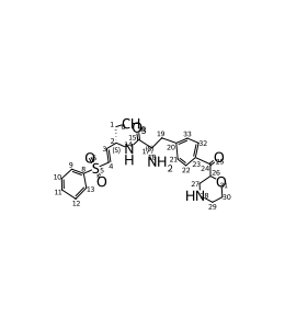 CC[C@@H](C=CS(=O)(=O)c1ccccc1)NC(=O)[C@@H](N)Cc1ccc(C(=O)C2CNCCO2)cc1